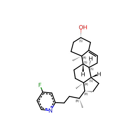 C[C@H](CCc1cc(F)ccn1)[C@H]1CC[C@H]2[C@@H]3CC=C4C[C@@H](O)CC[C@]4(C)[C@H]3CC[C@]12C